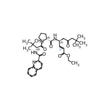 CCOC(=O)/C=C/[C@H](CC(=O)CC(C)(C)C)NC(=O)[C@H]1CCCN1C(=O)[C@H](NC(=O)c1ccc2ccccc2n1)C(C)(C)C